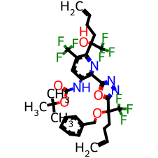 C=CCCC(O)(c1nc(-c2nnc(C(CCC=C)(OCc3ccccc3)C(F)(F)F)o2)c(NC(=O)OC(C)(C)C)cc1C(F)(F)F)C(F)(F)F